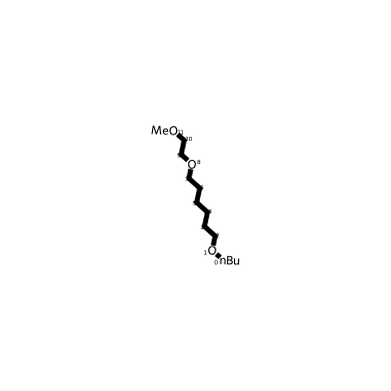 CCCCOCCCC[CH]COCCOC